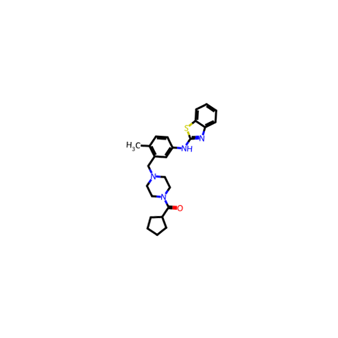 Cc1ccc(Nc2nc3ccccc3s2)cc1CN1CCN(C(=O)C2CCCC2)CC1